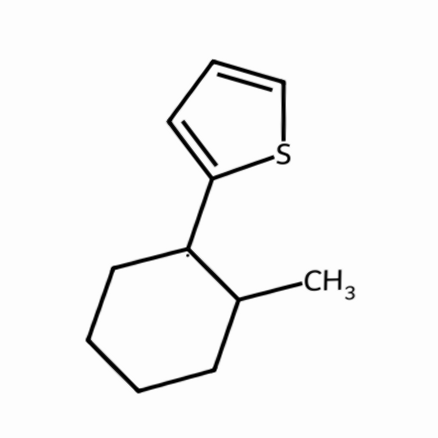 CC1CCCC[C]1c1cccs1